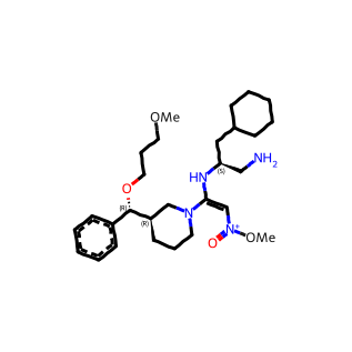 COCCCO[C@@H](c1ccccc1)[C@@H]1CCCN(C(=C[N+](=O)OC)N[C@H](CN)CC2CCCCC2)C1